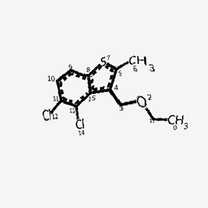 C[CH]OCc1c(C)sc2ccc(Cl)c(Cl)c12